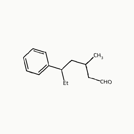 CCC(CC(C)CC=O)c1ccccc1